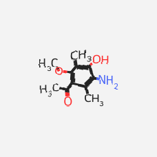 COc1c(C)c(O)c(N)c(C)c1C(C)=O